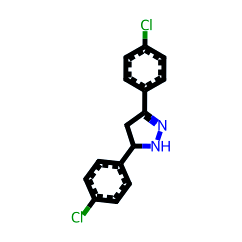 Clc1ccc(C2=NNC(c3ccc(Cl)cc3)C2)cc1